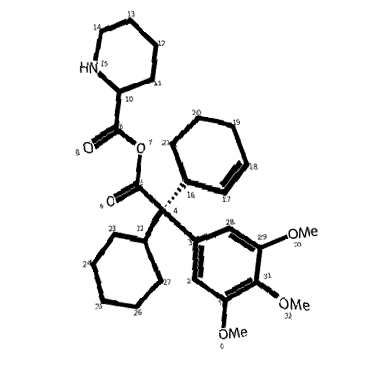 COc1cc([C@@](C(=O)OC(=O)C2CCCCN2)(C2C=CCCC2)C2CCCCC2)cc(OC)c1OC